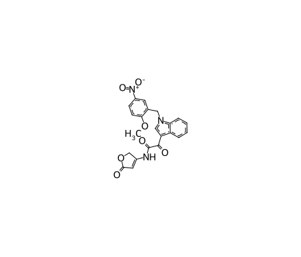 COc1ccc([N+](=O)[O-])cc1Cn1cc(C(=O)C(=O)NC2=CC(=O)OC2)c2ccccc21